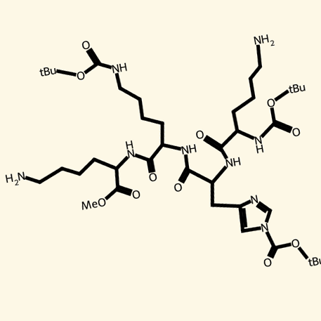 COC(=O)C(CCCCN)NC(=O)C(CCCCNC(=O)OC(C)(C)C)NC(=O)C(Cc1cn(C(=O)OC(C)(C)C)cn1)NC(=O)C(CCCCN)NC(=O)OC(C)(C)C